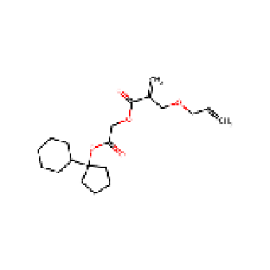 C=CCOCC(=C)C(=O)OCC(=O)OC1(C2CCCCC2)CCCC1